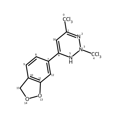 ClC(Cl)(Cl)C1=NN(C(Cl)(Cl)Cl)NC(c2ccc3c(c2)OOC3)=C1